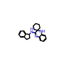 c1ccc2c(c1)CCC2NC1=Nc2ccccc2NC12CCCCC2